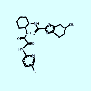 CN1CCc2nc(C(=O)N[C@@H]3CCCC[C@@H]3NC(=O)C(=O)Nc3ccc(Cl)cn3)sc2C1